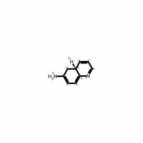 NC1=CC=C2N=CC=C[C@H]2C1